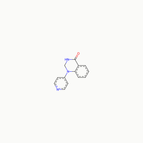 O=C1NCN(c2ccncc2)c2ccccc21